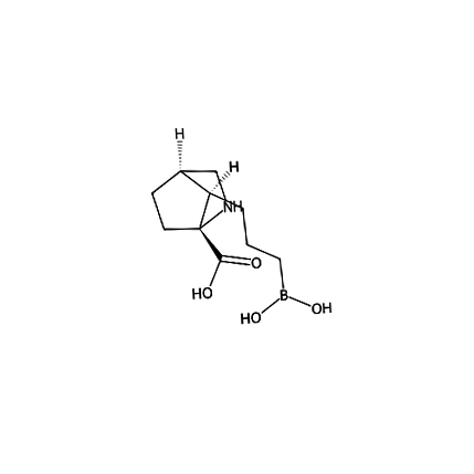 O=C(O)[C@]12CC[C@@H](CN1)[C@H]2CCCB(O)O